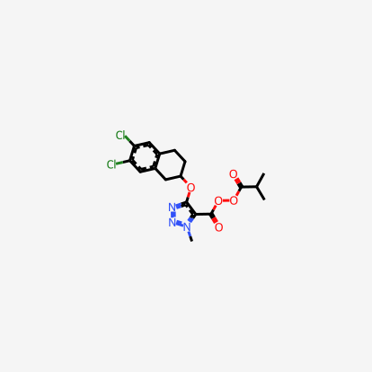 CC(C)C(=O)OOC(=O)c1c(OC2CCc3cc(Cl)c(Cl)cc3C2)nnn1C